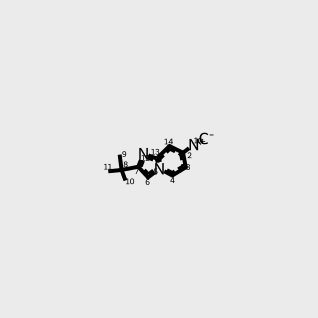 [C-]#[N+]c1ccn2cc(C(C)(C)C)nc2c1